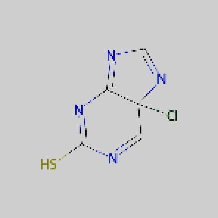 SC1=NC2=NC=NC2(Cl)C=N1